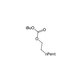 CCCCCCCOC(=O)OCC(C)C